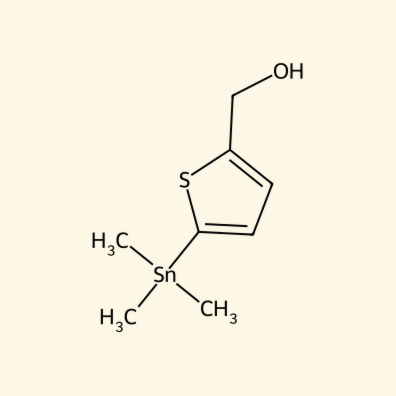 [CH3][Sn]([CH3])([CH3])[c]1ccc(CO)s1